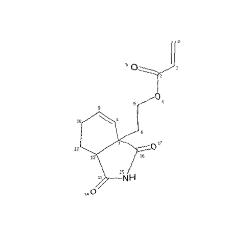 C=CC(=O)OCCC12C=CCCC1C(=O)NC2=O